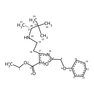 CCOC(=O)c1oc(COc2ccccc2)nc1CCN[C@H](C)C(C)(C)C